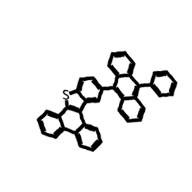 c1ccc(-c2c3ccccc3c(-c3ccc4sc5c6ccccc6c6ccccc6c5c4c3)c3ccccc23)cc1